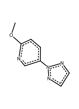 COc1ccc(-n2nccn2)cn1